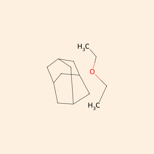 C1C2CC3CC1CC(C2)C3.CCOCC